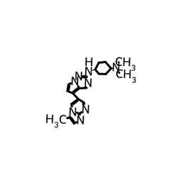 Cc1cnc2ncc(-c3ccn4nc(N[C@H]5CC[C@H](N(C)C)CC5)ncc34)cn12